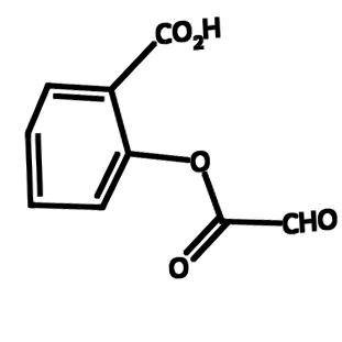 O=CC(=O)Oc1ccccc1C(=O)O